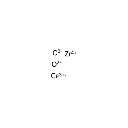 [Ce+3].[O-2].[O-2].[Zr+4]